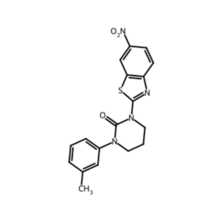 Cc1cccc(N2CCCN(c3nc4ccc([N+](=O)[O-])cc4s3)C2=O)c1